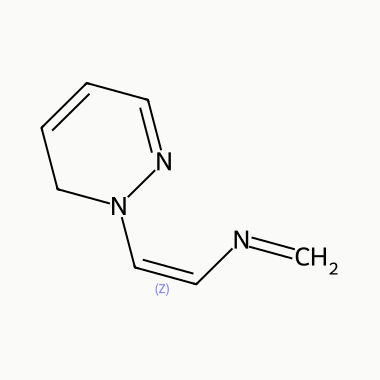 C=N/C=C\N1CC=CC=N1